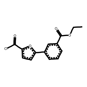 CCOC(=O)c1cccc(-c2ccc(C(=O)Cl)o2)c1